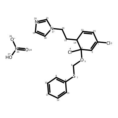 ClC1=CC(Cl)(OCSc2ccccc2)C(CCn2ccnc2)C=C1.O=[N+]([O-])O